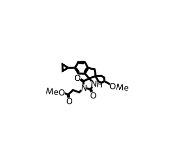 COC(=O)CCN1C(=O)NC2(C1=O)c1cc(C3CC3)ccc1CC21CCC(OC)CC1